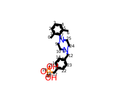 Cc1cccc(C)c1N1CCN(Cc2ccc(CP(=O)(O)O)cc2)CC1